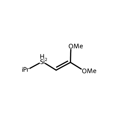 COC(=C[SiH2]C(C)C)OC